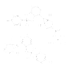 CC(C)(C)OC(=O)N1C[C@@H]2C(c3cccc4c3OC(C)(c3ccc(Cl)cn3)O4)[C@@H]2C1.CC1(c2ccc(Cl)cn2)Oc2cccc(C3[C@H]4CNC[C@@H]34)c2O1